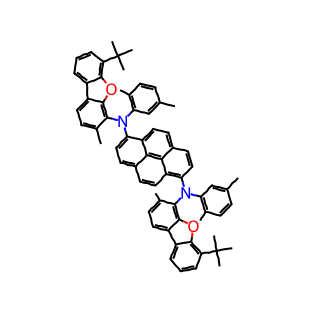 Cc1ccc(C)c(N(c2ccc3ccc4c(N(c5cc(C)ccc5C)c5c(C)ccc6c5oc5c(C(C)(C)C)cccc56)ccc5ccc2c3c54)c2c(C)ccc3c2oc2c(C(C)(C)C)cccc23)c1